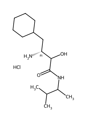 CC(C)C(C)NC(=O)C(O)[C@H](N)CC1CCCCC1.Cl